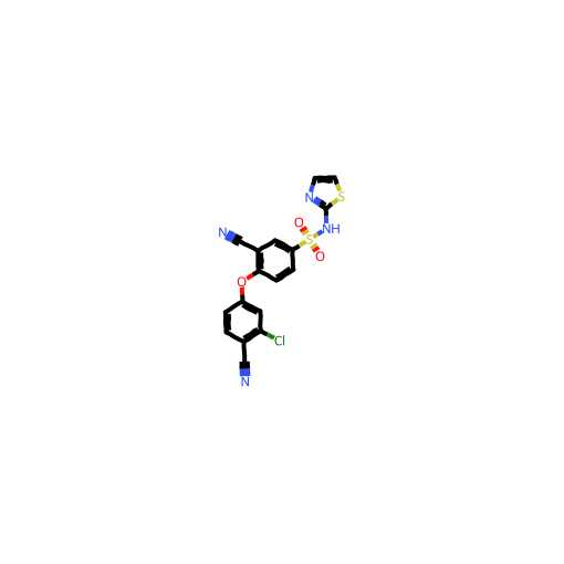 N#Cc1ccc(Oc2ccc(S(=O)(=O)Nc3nccs3)cc2C#N)cc1Cl